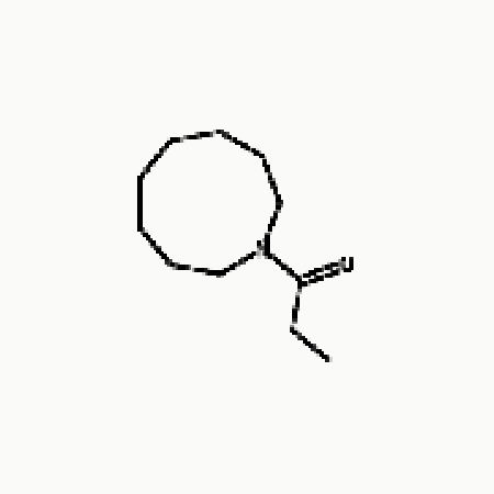 CCC(=O)N1CCCCCCCC1